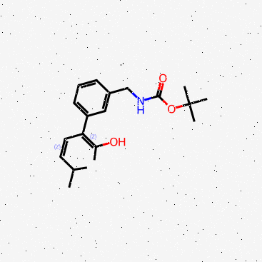 C/C(O)=C(\C=C/C(C)C)c1cccc(CNC(=O)OC(C)(C)C)c1